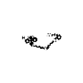 COc1ccccc1COCCCCCC[N+](C)(C)CCCCCCCN1CCC(C(C(N)=O)(c2ccccc2)c2ccccc2)C1